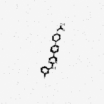 O=C(O)C[C@H]1CC[C@@H](c2ccc(-c3cnc(Nc4cccc(F)c4)nc3)cc2)CC1